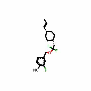 CC=C[C@H]1CC[C@H](CC(F)(F)OCc2ccc(C#N)c(F)c2)CC1